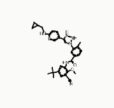 COc1c(C#N)cc(C(C)(C)C)cc1NC(=O)c1ccc(C)c(N2C=C(c3ccc(NCC4CC4)nc3)NN2)c1